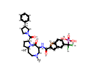 CC(=O)N1CC[C@H]2CC[C@@H](C(=O)N3CC[C@@H](c4ccccc4)C3)N2C(=O)C(NC(=O)c2cc3cc(C(F)(F)P(=O)(O)O)ccc3s2)C1